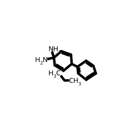 CCC.NC1(N)C=CC(c2ccccc2)C=C1